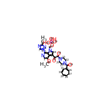 COc1cnc(-n2cnc(C)n2)c2c1c(C(=O)C(=O)N1CCN(C(=O)C3=CCC=CC=C3)CC1)cn2COP(=O)(O)O